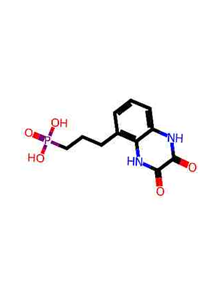 O=c1[nH]c2cccc(CCCP(=O)(O)O)c2[nH]c1=O